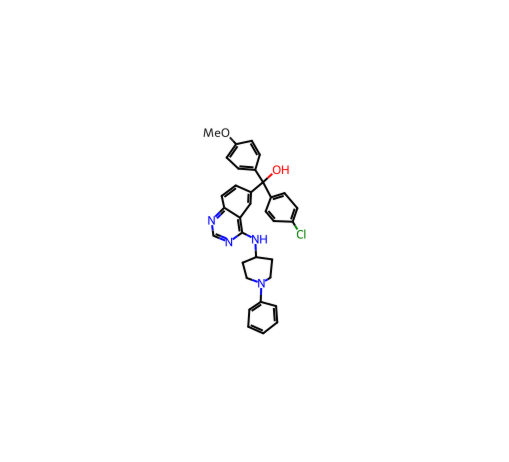 COc1ccc(C(O)(c2ccc(Cl)cc2)c2ccc3ncnc(NC4CCN(c5ccccc5)CC4)c3c2)cc1